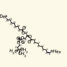 CCCCCC/C=C\CCCCCCCC(=O)O[C@H](COC(=O)CCCCCCCCCCCCCCCCC)COP(=O)([O-])OCC[N+](C)(C)C